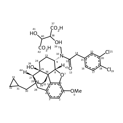 COc1ccc2c3c1O[C@H]1[C@@H](N(C)C(=O)Cc4ccc(Cl)c(Cl)c4)CC[C@@]4(O)[C@@H](C2)N(CC2CC2)CC[C@]314.O=C(O)C(O)C(O)C(=O)O